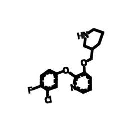 Fc1ccc(Oc2ncccc2OCC2CCCNC2)cc1Cl